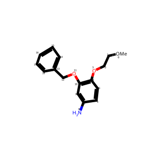 COCCOc1ccc(N)cc1OCc1ccccc1